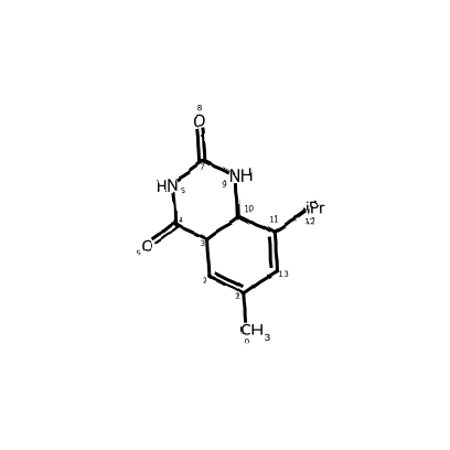 CC1=CC2C(=O)NC(=O)NC2C(C(C)C)=C1